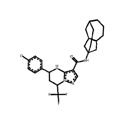 O=C(NC12CC3CCCC(C1)C(C3)C2)c1cnn2c1NC(c1ccc(Cl)cc1)CC2C(F)(F)F